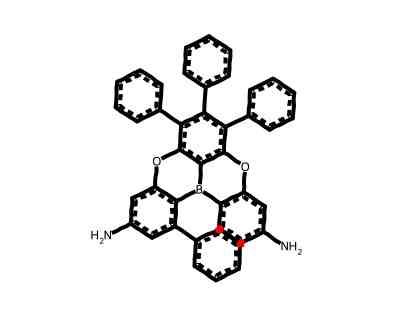 Nc1ccc2c(c1)Oc1c3c(c(-c4ccccc4)c(-c4ccccc4)c1-c1ccccc1)Oc1cc(N)cc(-c4ccccc4)c1B23